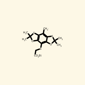 [CH2]c1c2c(c(SCC(=O)OCC)c3c1SC(C)(C)O3)OC(C)(C)S2